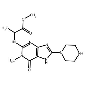 COC(=O)C(C)Nc1nc2nc(N3CCNCC3)[nH]c2c(=O)n1C